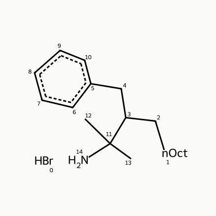 Br.CCCCCCCCCC(Cc1ccccc1)C(C)(C)N